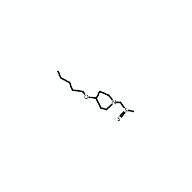 CCCCCOC1CCN(CS(C)=S)CC1